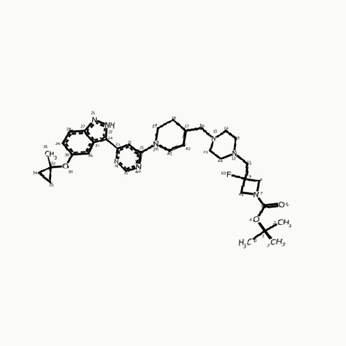 CC(C)(C)OC(=O)N1CC(F)(CN2CCN(CC3CCN(c4cc(-c5[nH]nc6ccc(OC7(C)CC7)cc56)ncn4)CC3)CC2)C1